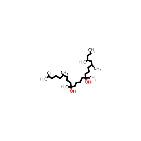 CCCC(C)CC(C)CCCC(C)(O)CCCCC(C)(O)CCCC(C)CCCC(C)C